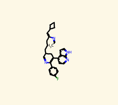 C/C=N\C(=C/C1CCC1)CCCC1C=NC(c2ccc(F)cc2)=C(c2ccnc3[nH]ccc23)C1